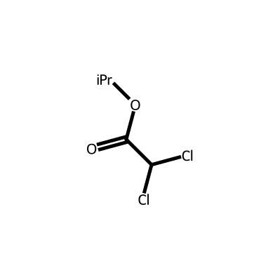 CC(C)OC(=O)C(Cl)Cl